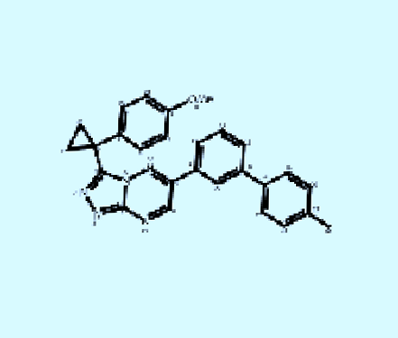 COc1ccc(C2(c3nnc4ncc(-c5cccc(-c6ccc(C)cc6)c5)nn34)CC2)cc1